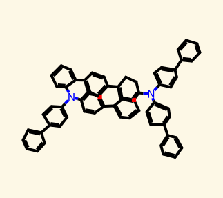 C1=C(c2ccc(-c3ccccc3N(c3ccc(-c4ccccc4)cc3)c3ccc(-c4ccccc4)cc3)cc2)CCC(N(c2ccc(-c3ccccc3)cc2)c2ccc(-c3ccccc3)cc2)=C1